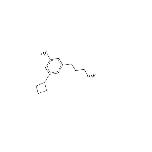 Cc1cc(CCCC(=O)O)cc(C2CCC2)c1